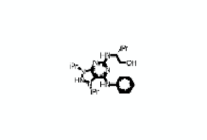 CC(C)[C@H](CO)Nc1nc(Nc2ccccc2)c2c(n1)N(C(C)C)NN2C(C)C